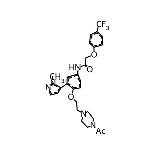 CC(=O)N1CCN(CCOc2ccc(NC(=O)COc3ccc(C(F)(F)F)cc3)cc2-c2ccnn2C)CC1